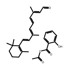 CC(=O)OC(=O)c1ccccc1O.CC(C=CC=C(C)C=CC1=C(C)CCCC1(C)C)=CC=O